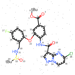 CC(C)(C)OC(=O)c1ccc(NC(=O)c2cnn3ccc(Cl)nc23)c(Oc2ccc(F)cc2CN[S+]([O-])C(C)(C)C)c1